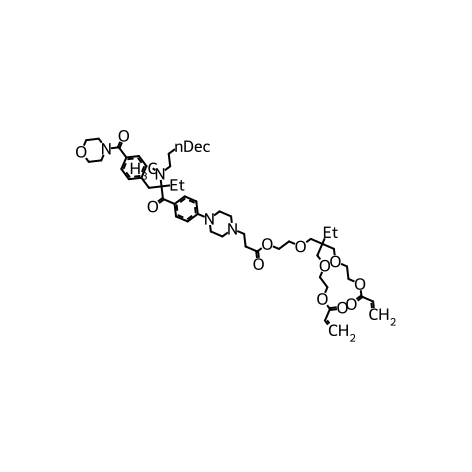 C=CC(=O)OCCOCC(CC)(COCCOC(=O)C=C)COCCOC(=O)CCN1CCN(c2ccc(C(=O)C(CC)(Cc3ccc(C(=O)N4CCOCC4)cc3)N(C)CCCCCCCCCCCC)cc2)CC1